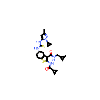 Cc1cc(NC(=S)N[C@H]2CCc3sc(NC(=O)C4CC4)c(C(=O)NCC4CC4)c3C2)n(C2CC2)n1